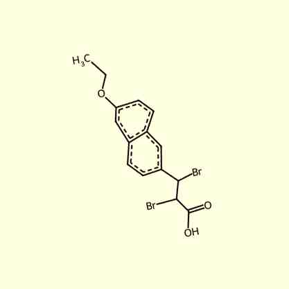 CCOc1ccc2cc(C(Br)C(Br)C(=O)O)ccc2c1